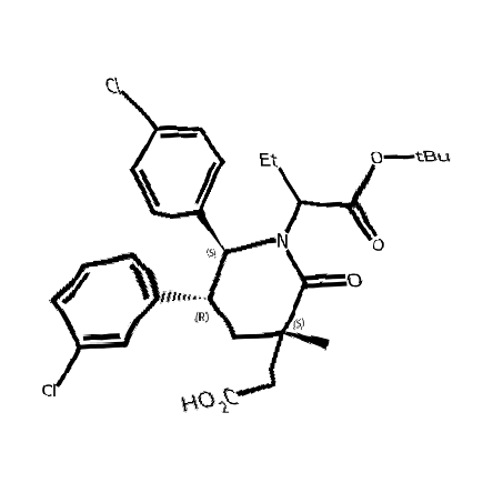 CCC(C(=O)OC(C)(C)C)N1C(=O)[C@](C)(CC(=O)O)C[C@H](c2cccc(Cl)c2)[C@H]1c1ccc(Cl)cc1